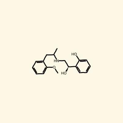 COc1ccccc1CC(C)NC[C@H](O)c1ccccc1O